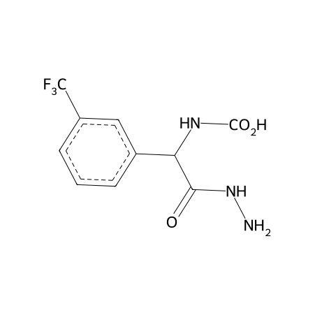 NNC(=O)C(NC(=O)O)c1cccc(C(F)(F)F)c1